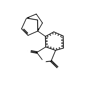 O=C1OC(=O)c2c1cccc2C12C=CC(CC1)C2